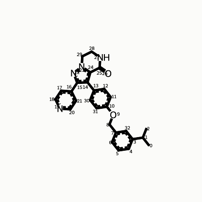 CC(C)c1cccc(COc2ccc(-c3c(-c4ccncc4)nn4c3C(=O)NCC4)cc2)c1